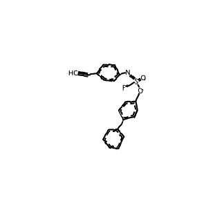 C#Cc1ccc(N=S(=O)(F)Oc2ccc(-c3ccccc3)cc2)cc1